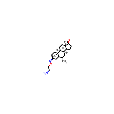 C[C@H]1C[C@@H]2[C@H](CC[C@]3(C)C(=O)CC[C@@H]23)[C@@]2(C)CC/C(=N/OCCN)CC12